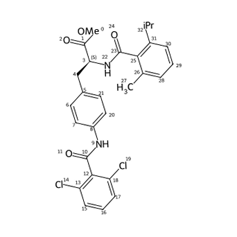 COC(=O)[C@H](Cc1ccc(NC(=O)c2c(Cl)cccc2Cl)cc1)NC(=O)c1c(C)cccc1C(C)C